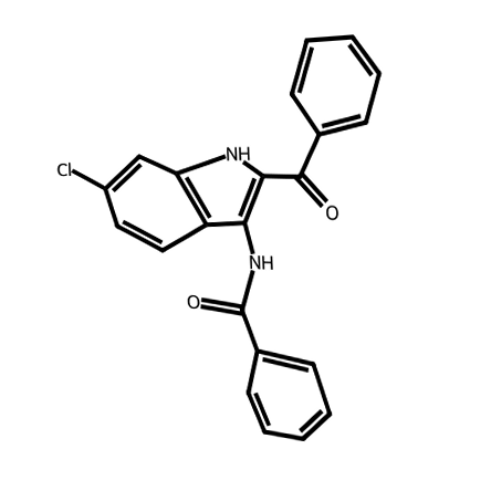 O=C(Nc1c(C(=O)c2ccccc2)[nH]c2cc(Cl)ccc12)c1ccccc1